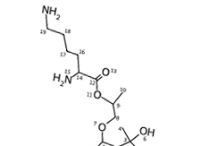 CC(CC(C)(C)O)OCC(C)OC(=O)C(N)CCCCN